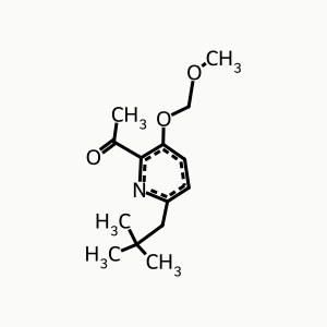 COCOc1ccc(CC(C)(C)C)nc1C(C)=O